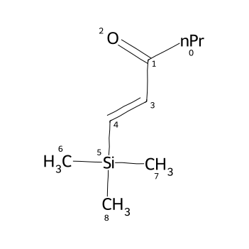 CCCC(=O)/C=C/[Si](C)(C)C